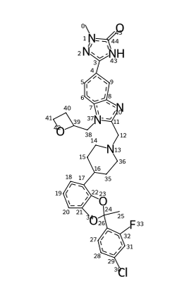 Cn1nc(-c2ccc3c(c2)nc(CN2CCC(c4cccc5c4OC(C)(c4ccc(Cl)cc4F)O5)CC2)n3CC2CCO2)[nH]c1=O